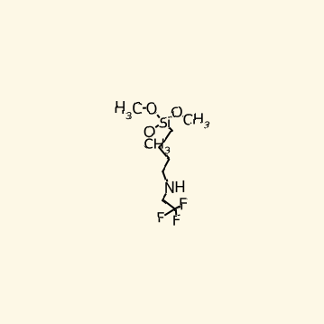 CO[Si](CCCCNCC(F)(F)F)(OC)OC